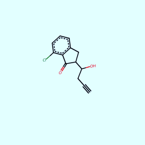 C#CCC(O)C1Cc2cccc(Cl)c2C1=O